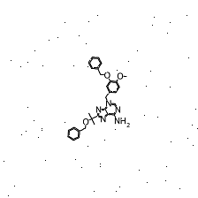 COc1ccc(Cn2cnc(N)c3nc(C(C)(C)OCc4ccccc4)nc2-3)cc1OCc1ccccc1